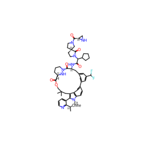 CCn1c(-c2cccnc2[C@H](C)OC)c2c3cc(ccc31)-c1cc(cc(C(F)F)c1)C[C@H](NC(=O)C(C1CCCC1)N1CC[C@]3(CCN(C(=O)[C@H]4CN4)C3)C1=O)C(=O)N1CCC[C@H](N1)C(=O)OCC(C)(C)C2